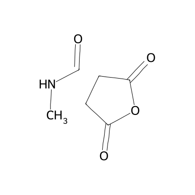 CNC=O.O=C1CCC(=O)O1